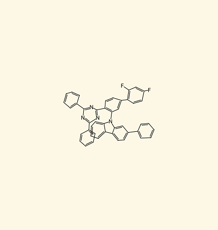 Fc1ccc(-c2ccc(-c3nc(-c4ccccc4)nc(-c4ccccc4)n3)c(-n3c4ccccc4c4ccc(-c5ccccc5)cc43)c2)c(F)c1